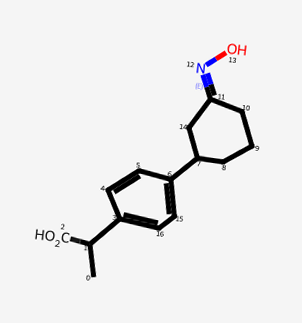 CC(C(=O)O)c1ccc(C2CCC/C(=N\O)C2)cc1